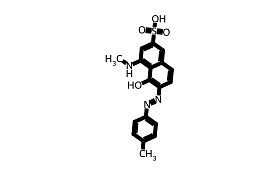 CNc1cc(S(=O)(=O)O)cc2ccc(N=Nc3ccc(C)cc3)c(O)c12